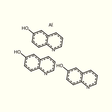 Oc1ccc2ncccc2c1.Oc1ccc2ncccc2c1.Oc1ccc2ncccc2c1.[Al]